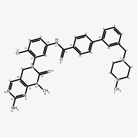 CN1CCN(Cc2cccc(-c3ccc(C(=O)Nc4ccc(Cl)c(N5Cc6cnc(N)nc6N(C)C5=O)c4)cc3)c2)CC1